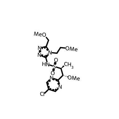 COCCn1c(COC)nnc1NS(=O)(=O)[C@@H](C)[C@H](OC)c1ncc(Cl)cn1